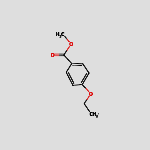 [CH2]COc1ccc(C(=O)OC)cc1